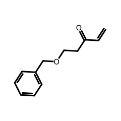 C=CC(=O)CCOCc1ccccc1